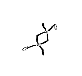 C[Si]1(Cl)C[Si](C)(Cl)C1